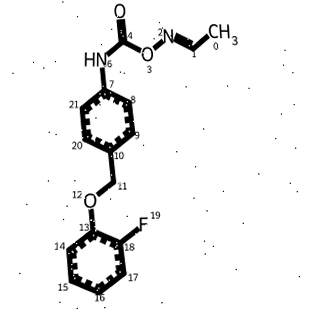 CC=NOC(=O)Nc1ccc(COc2ccccc2F)cc1